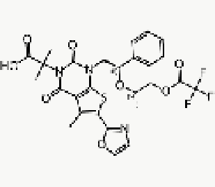 Cc1c(-c2ncco2)sc2c1c(=O)n(C(C)(C)C(=O)O)c(=O)n2C[C@H](O[C@@H](C)COC(=O)C(F)(F)F)c1ccccc1